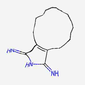 N=C1NC(=N)C2=C1CCCCCCCC2